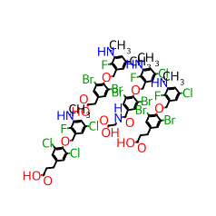 CNc1cc(C)cc(COc2c(Br)cc(CC(=O)O)cc2Br)c1F.CNc1cc(Cl)cc(COc2c(Br)cc(C(=O)NCC(=O)O)cc2Br)c1F.CNc1cc(Cl)cc(COc2c(Br)cc(CCC(=O)O)cc2Br)c1F.CNc1cc(Cl)cc(COc2c(Cl)cc(CCC(=O)O)cc2Cl)c1F